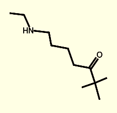 CCNCCCCC(=O)C(C)(C)C